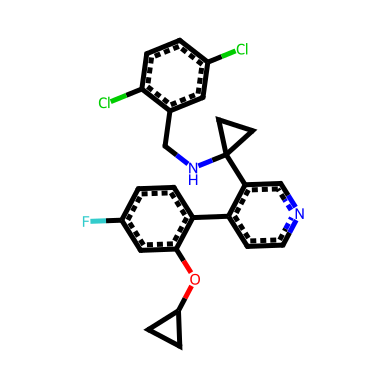 Fc1ccc(-c2ccncc2C2(NCc3cc(Cl)ccc3Cl)CC2)c(OC2CC2)c1